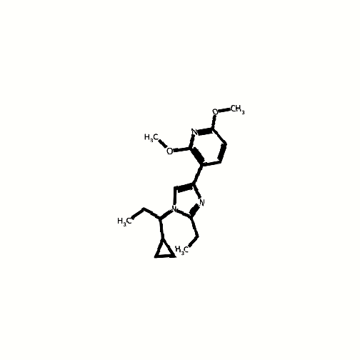 CCc1nc(-c2ccc(OC)nc2OC)cn1C(CC)C1CC1